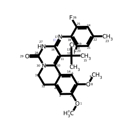 COc1cc2c(cc1OC)-c1c(C(C)(C)C)/c(=N\c3c(F)cc(C)cc3F)[nH]c(=O)n1CC2